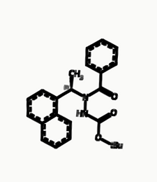 C[C@H](c1cccc2ccccc12)N(NC(=O)OC(C)(C)C)C(=O)c1ccccc1